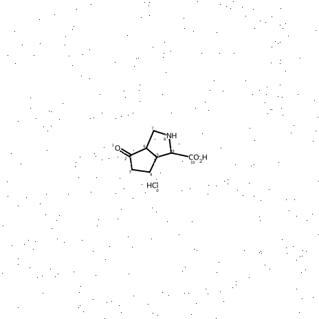 Cl.O=C1CCC2C1CNC2C(=O)O